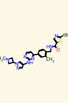 Cc1cc(-c2ccnc(Nc3cnn(C4CN(C)C4)c3)n2)ccc1CNC(=O)c1cnc(C(C)(C)C)s1